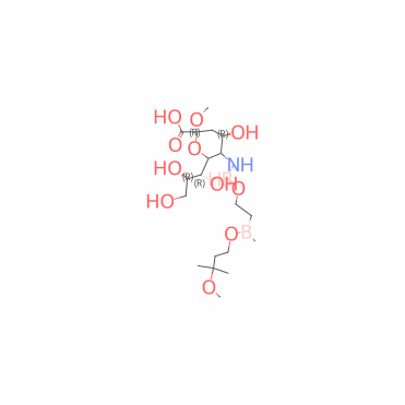 COC(C)(C)CCOB(C)CCOBNC1C([C@H](O)[C@H](O)CO)O[C@@](OC)(C(=O)O)C[C@H]1O